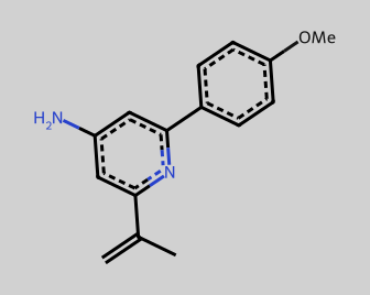 C=C(C)c1cc(N)cc(-c2ccc(OC)cc2)n1